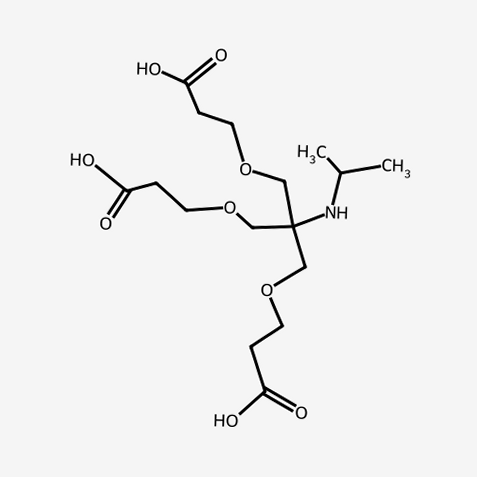 CC(C)NC(COCCC(=O)O)(COCCC(=O)O)COCCC(=O)O